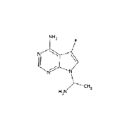 CC(N)n1cc(F)c2c(N)ncnc21